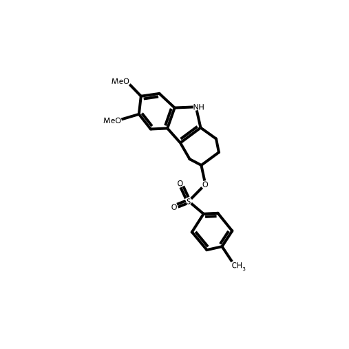 COc1cc2[nH]c3c(c2cc1OC)CC(OS(=O)(=O)c1ccc(C)cc1)CC3